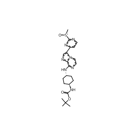 C[S+]([O-])c1nccc(-c2cnc3c(N[C@H]4CC[C@H](NC(=O)OC(C)(C)C)CC4)nccn23)n1